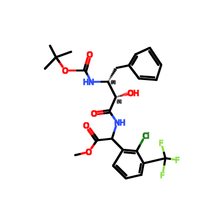 COC(=O)C(NC(=O)[C@@H](O)[C@@H](Cc1ccccc1)NC(=O)OC(C)(C)C)c1cccc(C(F)(F)F)c1Cl